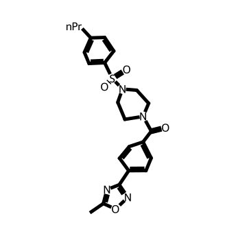 CCCc1ccc(S(=O)(=O)N2CCN(C(=O)c3ccc(-c4noc(C)n4)cc3)CC2)cc1